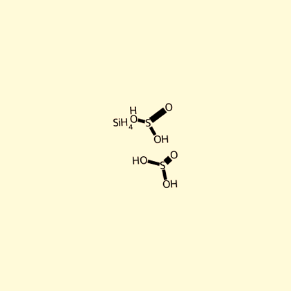 O=S(O)O.O=S(O)O.[SiH4]